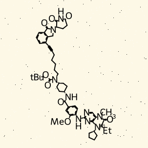 CC[C@@H]1C(=O)N(C)c2cnc(Nc3ccc(C(=O)N[C@H]4CC[C@@H](N(CCCCCC#Cc5cccc6c5CN(C5CCC(=O)NC5=O)C6=O)C(=O)OC(C)(C)C)CC4)cc3OC)nc2N1C1CCCC1